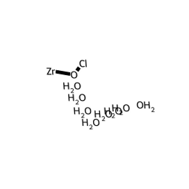 Cl[O][Zr].O.O.O.O.O.O.O.O